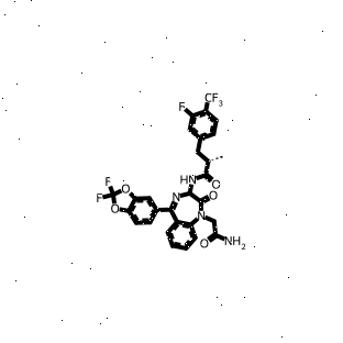 C[C@@H](Cc1ccc(C(F)(F)F)c(F)c1)C(=O)NC1N=C(c2ccc3c(c2)OC(F)(F)O3)c2ccccc2N(CC(N)=O)C1=O